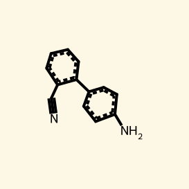 N#Cc1ccccc1-c1ccc(N)cc1